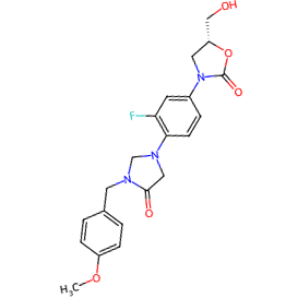 COc1ccc(CN2CN(c3ccc(N4C[C@H](CO)OC4=O)cc3F)CC2=O)cc1